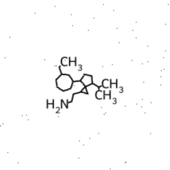 CCC1CCCCC(C2CCC(C(C)C)C23CC3CCN)C1